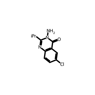 CC(C)c1nc2ccc(Cl)cc2c(=O)n1N